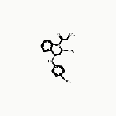 CCC(=O)N1c2ccccc2[C@H](Nc2ccc(N)cc2)C[C@@H]1C